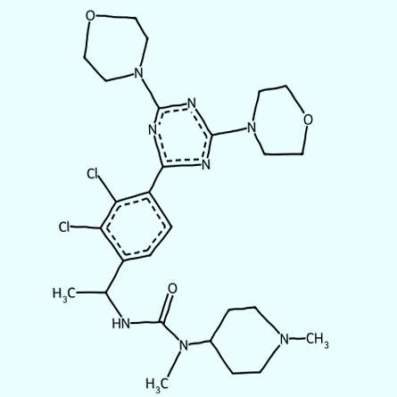 CC(NC(=O)N(C)C1CCN(C)CC1)c1ccc(-c2nc(N3CCOCC3)nc(N3CCOCC3)n2)c(Cl)c1Cl